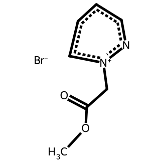 COC(=O)C[n+]1ccccn1.[Br-]